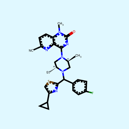 CC[C@@H]1CN(c2nc(=O)n(C)c3ccc(C#N)nc23)[C@@H](C)CN1C(c1ccc(F)cc1)c1nc(C2CC2)cs1